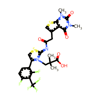 Cn1c(=O)c2c(CC(=O)/N=c3\scc(-c4ccc(F)c(C(F)(F)F)c4F)n3CC(C)(C)C(=O)O)csc2n(C)c1=O